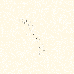 C=C/C=C(\C=C/C)CN1C(=O)/C(=C/c2ccc(-c3ccc(C(=O)O)cc3)o2)OC1=S